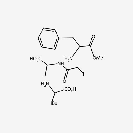 CC(NC(=O)CI)C(=O)O.CCC(C)C(N)C(=O)O.COC(=O)C(N)Cc1ccccc1